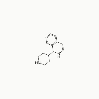 C1=Cc2ccccc2C(C2CCNCC2)N1